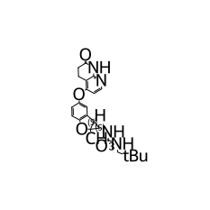 CC(C)(C)CNC(=O)N[C@H]1[C@@H]2c3cc(Oc4ccnc5c4CCC(=O)N5)ccc3OC12C